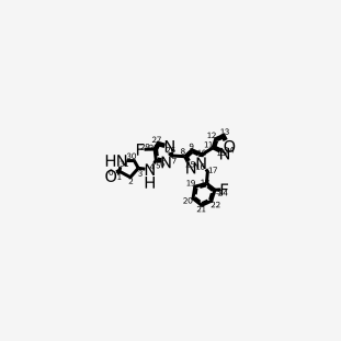 O=C1CC(Nc2nc(-c3cc(-c4ccon4)n(Cc4ccccc4F)n3)ncc2F)CN1